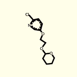 Clc1ccc(OCCOC2CCCCO2)cn1